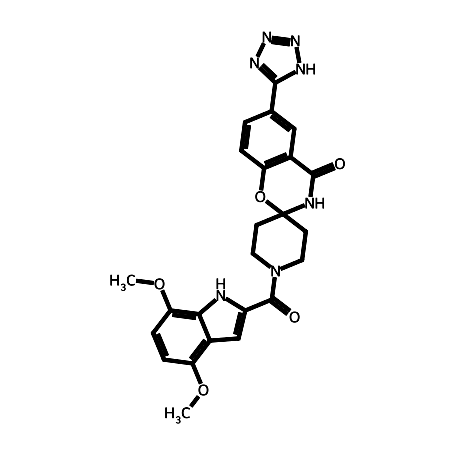 COc1ccc(OC)c2[nH]c(C(=O)N3CCC4(CC3)NC(=O)c3cc(-c5nnn[nH]5)ccc3O4)cc12